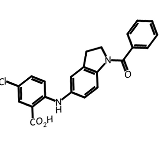 O=C(O)c1cc(Cl)ccc1Nc1ccc2c(c1)CCN2C(=O)c1ccccc1